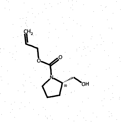 C=CCOC(=O)N1CCC[C@H]1CO